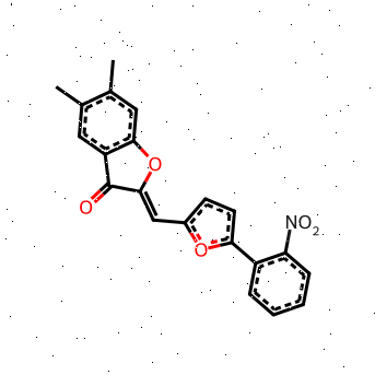 Cc1cc2c(cc1C)C(=O)C(=Cc1ccc(-c3ccccc3[N+](=O)[O-])o1)O2